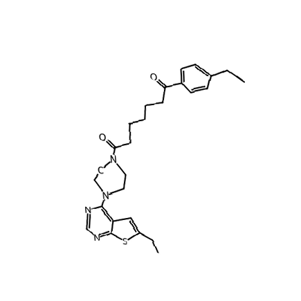 CCc1ccc(C(=O)CCCCCC(=O)N2CCN(c3ncnc4sc(CC)cc34)CC2)cc1